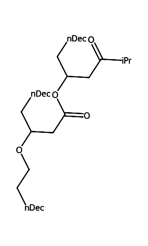 CCCCCCCCCCCCOC(CCCCCCCCCCC)CC(=O)OC(CCCCCCCCCCC)CC(=O)C(C)C